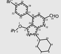 CC(C)Oc1nn(C2CCCCC2)c2nc(C=O)cc(-c3ccc(Br)cc3)c12